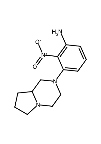 Nc1cccc(N2CCN3CCCC3C2)c1[N+](=O)[O-]